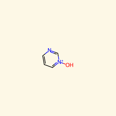 O[n+]1cccnc1